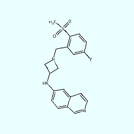 CS(=O)(=O)c1ccc(F)cc1CN1CC(Nc2ccc3cnccc3c2)C1